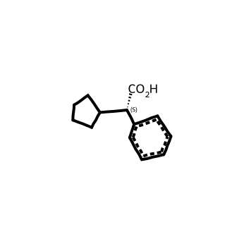 O=C(O)[C@H](c1ccccc1)C1CCCC1